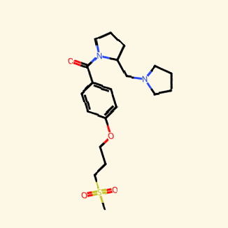 CS(=O)(=O)CCCOc1ccc(C(=O)N2CCCC2CN2CCCC2)cc1